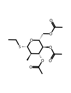 CCS[C@@H]1O[C@H](COC(C)=O)[C@@H](OC(C)=O)[C@H](OC(C)=O)[C@H]1C